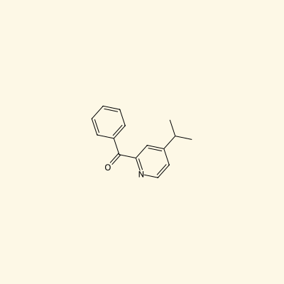 CC(C)c1ccnc(C(=O)c2ccccc2)c1